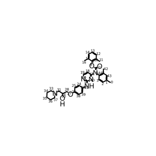 Cc1ccc(N(C(=O)Oc2c(C)cccc2C)c2ccnc(Nc3ccc(OCC(O)CN4CCCCC4)cc3)n2)c(C)c1